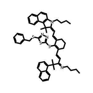 CCCC/N=C(\C=C\C1=C(Sc2nnc(SCc3ccccc3)s2)C(=C/C=C2/N(CCCC)c3ccc4ccccc4c3C2(C)C)/CCC1)C(C)(C)c1cccc2ccccc12